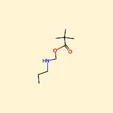 CCCNCOC(=O)C(C)(C)C